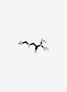 CN(C)C(=O)COCO